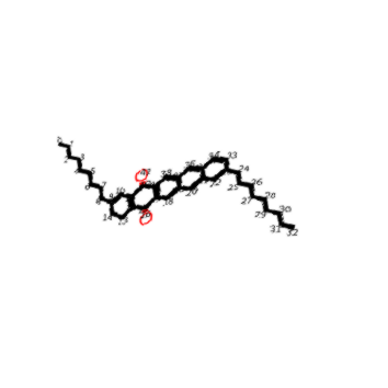 CCCCCCCCCC1=CC2=C(CC1)C(=O)c1cc3cc4cc(CCCCCCCCC)ccc4cc3cc1C2=O